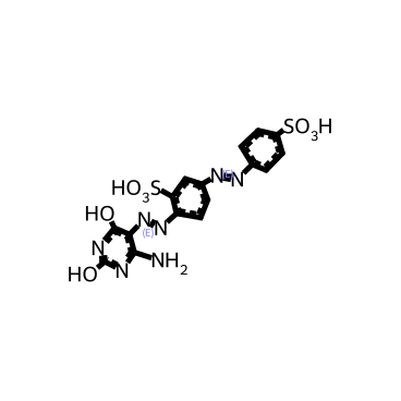 Nc1nc(O)nc(O)c1/N=N/c1ccc(/N=N/c2ccc(S(=O)(=O)O)cc2)cc1S(=O)(=O)O